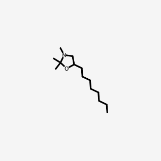 CCCCCCCCC1CN(C)C(C)(C)O1